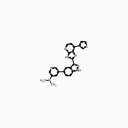 CN(C)c1cncc(-c2ccc3[nH]nc(-c4nc5c(-c6ccsc6)ccnc5[nH]4)c3c2)c1